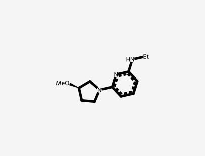 CCNc1cccc(N2CC[C@@H](OC)C2)n1